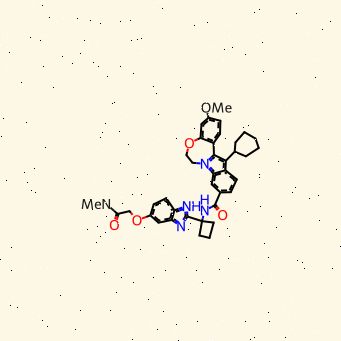 CNC(=O)COc1ccc2[nH]c(C3(NC(=O)c4ccc5c(C6CCCCC6)c6n(c5c4)CCOc4cc(OC)ccc4-6)CCC3)nc2c1